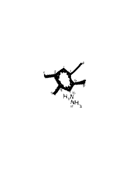 Cc1cc(C)c(C)cc1C.N.N